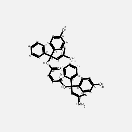 C/C(N)=C\C(OC(=O)/C=C\C(=O)OC(/C=C(\C)N)(c1ccccc1)c1ccc(Br)cc1)(c1ccccc1)c1ccc(Br)cc1